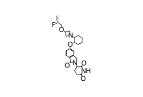 O=C1CCC(N2Cc3cc(O[C@H]4CCCC[C@@H]4N4CC(OCC(F)F)C4)ccc3C2=O)C(=O)N1